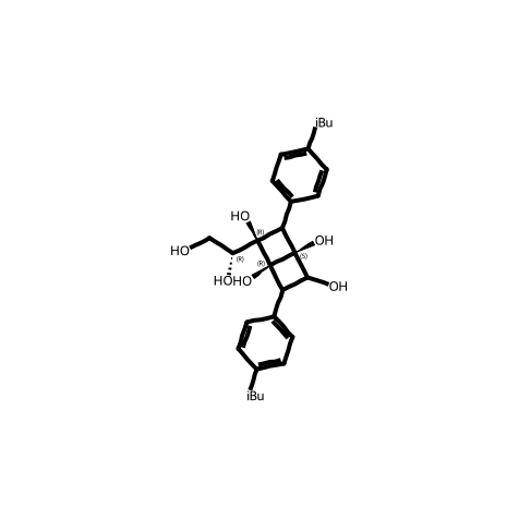 CCC(C)c1ccc(C2C(O)[C@@]3(O)C(c4ccc(C(C)CC)cc4)[C@@](O)([C@H](O)CO)[C@@]23O)cc1